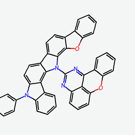 c1ccc(-n2c3ccccc3c3c2ccc2c4ccc5c6ccccc6oc5c4n(-c4nc5c6c(cccc6n4)Oc4ccccc4-5)c23)cc1